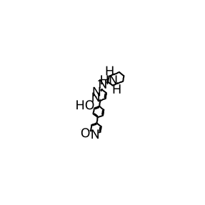 COc1cc(-c2ccc(-c3ccc(N(C)C4C[C@H]5CCC[C@@H](C4)N5)nn3)c(O)c2)ccn1